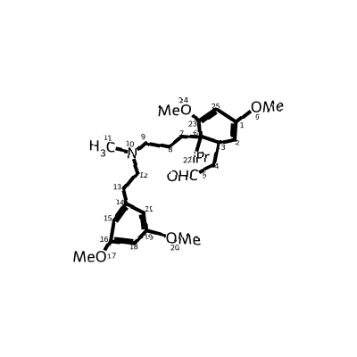 COC1=CC(CC=O)C(CCCN(C)CCc2cc(OC)cc(OC)c2)(C(C)C)C(OC)=C1